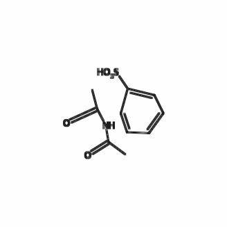 CC(=O)NC(C)=O.O=S(=O)(O)c1ccccc1